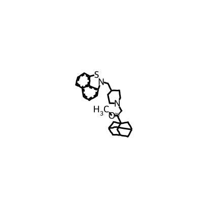 CO[C@@H](CN1CCC(CN2Sc3cccc4cccc2c34)CC1)C12CC3CC(CC(C3)C1)C2